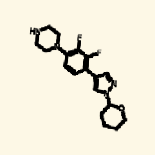 Fc1c(-c2cnn(C3CCCCO3)c2)ccc(N2CCNCC2)c1F